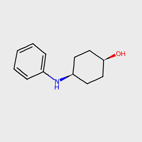 O[C@H]1CC[C@@H](Nc2ccccc2)CC1